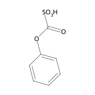 O=C(Oc1ccccc1)S(=O)(=O)O